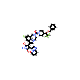 O=C1NC(O)C(c2cnc3ccccn23)=C1c1cn2c3c(cc(F)cc13)CN(C(=O)N1CCC(C(OCc3ccccc3)C(F)(F)F)CC1)CC2